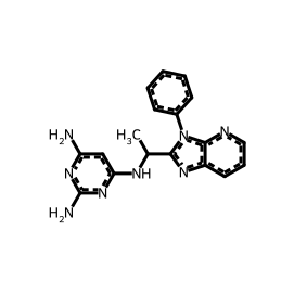 CC(Nc1cc(N)nc(N)n1)c1nc2cccnc2n1-c1ccccc1